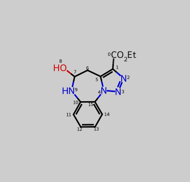 CCOC(=O)c1nnn2c1CC(O)Nc1ccccc1-2